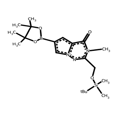 Cn1c(CO[Si](C)(C)C(C)(C)C)nn2cc(B3OC(C)(C)C(C)(C)O3)cc2c1=O